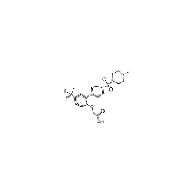 CN1CCN(S(=O)(=O)c2ccc(-c3cc(C(F)(F)F)ccc3OCC(=O)O)cc2)CC1